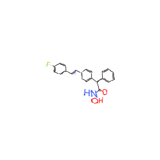 O=C(NO)C(c1ccccc1)c1ccc(/C=C/c2ccc(F)cc2)cc1